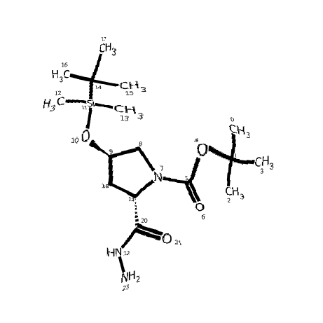 CC(C)(C)OC(=O)N1C[C@H](O[Si](C)(C)C(C)(C)C)C[C@H]1C(=O)NN